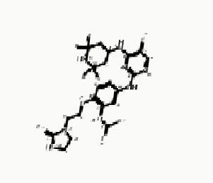 CC1(C)CC(Nc2nc(Nc3ccc(OCCN4CCNC4=O)c(OC(F)F)c3)ncc2F)CC(C)(C)N1